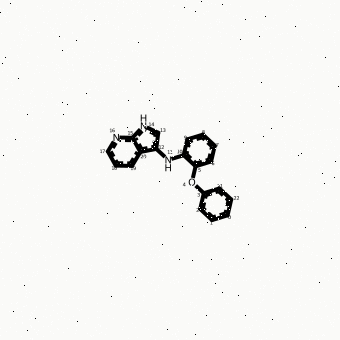 c1ccc(Oc2ccccc2Nc2c[nH]c3ncccc23)cc1